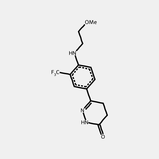 COCCNc1ccc(C2=NNC(=O)CC2)cc1C(F)(F)F